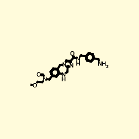 COCCN(C=O)Cc1ccc2c(c1)NCc1nc(C(=O)NCc3ccc(CN)cc3)cn1C2